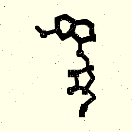 COc1ccc2ccnc(OC[C@@H]3C[C@H](CC#N)C(=O)N3)c2c1